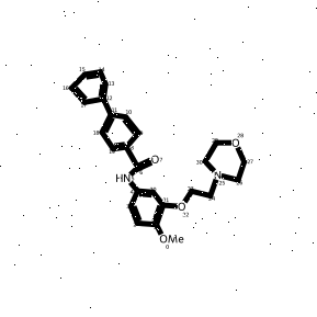 COc1ccc(NC(=O)c2ccc(-c3ccccc3)cc2)cc1OCCN1CCOCC1